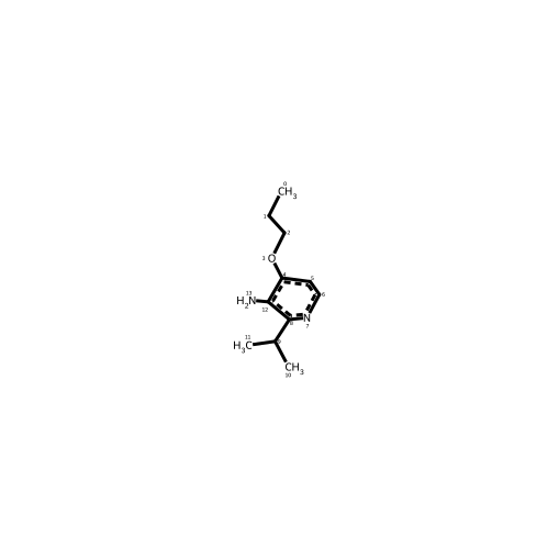 CCCOc1ccnc(C(C)C)c1N